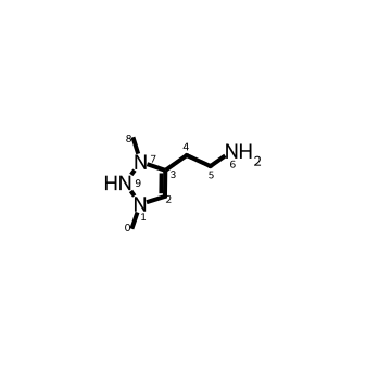 CN1C=C(CCN)N(C)N1